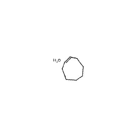 C1=CCCCCCC1.O